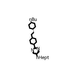 CCCCCCCc1cnc(C2CCC(CC[C@H]3CC[C@H](CCCC)CC3)CC2)nc1